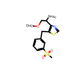 CC(=O)NC(COC=O)c1ncsc1Cc1cccc(S(C)(=O)=O)c1